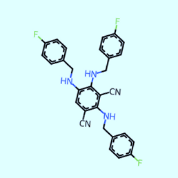 N#Cc1cc(NCc2ccc(F)cc2)c(NCc2ccc(F)cc2)c(C#N)c1NCc1ccc(F)cc1